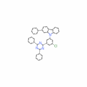 Clc1cc(-c2nc(-c3ccccc3)nc(-c3ccccc3)n2)cc(-n2c3ccccc3c3ccc(-c4ccccc4)cc32)c1